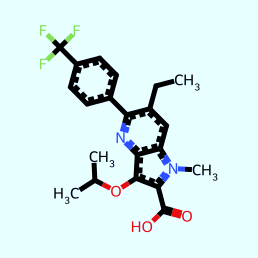 CCc1cc2c(nc1-c1ccc(C(F)(F)F)cc1)c(OC(C)C)c(C(=O)O)n2C